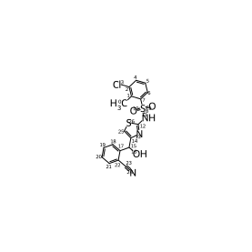 Cc1c(Cl)cccc1S(=O)(=O)Nc1nc(C(O)c2ccccc2C#N)cs1